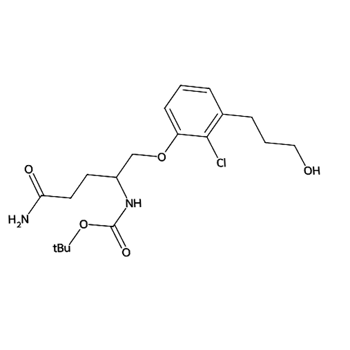 CC(C)(C)OC(=O)NC(CCC(N)=O)COc1cccc(CCCO)c1Cl